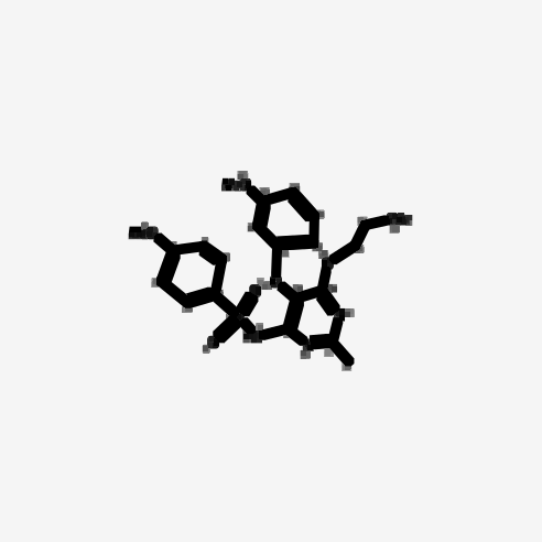 COc1ccc(S(=O)(=O)Nc2nc(C)nc(OCCOC(C)=O)c2Oc2cccc(OC)c2)cc1